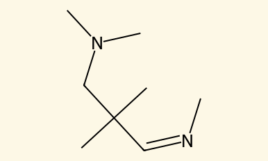 C/N=C\C(C)(C)CN(C)C